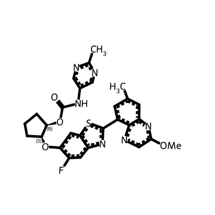 COc1cnc2c(-c3nc4cc(F)c(O[C@H]5CCC[C@H]5OC(=O)Nc5cnc(C)nc5)cc4s3)cc(C)cc2n1